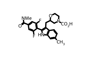 CNC(=O)c1cc(F)c(-c2[nH]c3cc(C)ccc3c2CC2CN(C(=O)O)CCO2)c(F)c1